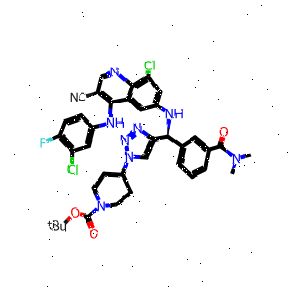 CN(C)C(=O)c1cccc([C@H](Nc2cc(Cl)c3ncc(C#N)c(Nc4ccc(F)c(Cl)c4)c3c2)c2cn(C3CCN(C(=O)OC(C)(C)C)CC3)nn2)c1